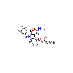 CCc1c(C(=O)C(N)=O)c2c(n1Cc1ccccc1)=CCC(C)C=2OCC(=O)OC